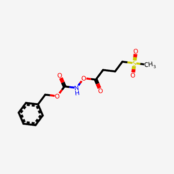 CS(=O)(=O)CCCC(=O)ONC(=O)OCc1ccccc1